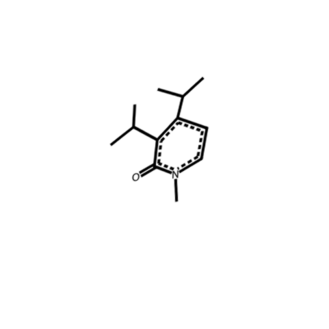 CC(C)c1ccn(C)c(=O)c1C(C)C